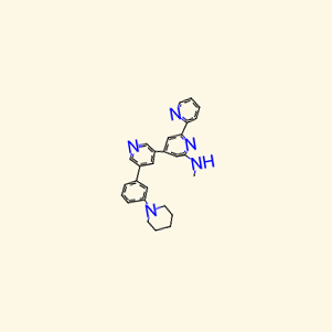 CNc1cc(-c2cncc(-c3cccc(N4CCCCC4)c3)c2)cc(-c2ccccn2)n1